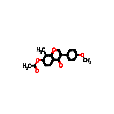 COc1ccc(-c2coc3c(C)c(OC(C)=O)ccc3c2=O)cc1